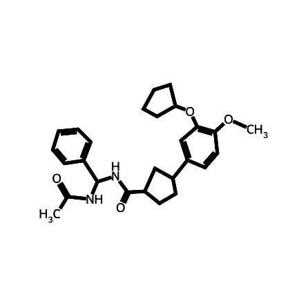 COc1ccc(C2CCC(C(=O)NC(NC(C)=O)c3ccccc3)C2)cc1OC1CCCC1